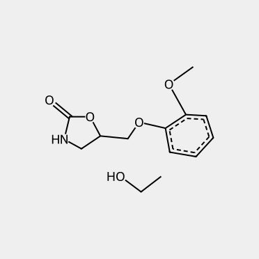 CCO.COc1ccccc1OCC1CNC(=O)O1